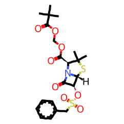 CC(C)(C)C(=O)OCOC(=O)[C@@H]1N2C(=O)[C@@H](OS(=O)(=O)Cc3ccccc3)[C@H]2SC1(C)C